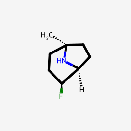 C[C@]12CC[C@H](N1)[C@@H](F)CC2